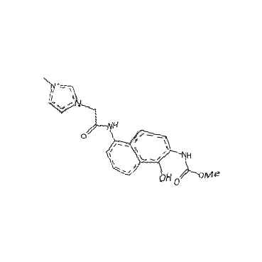 COC(=O)Nc1ccc2c(NC(=O)Cn3cc[n+](C)c3)cccc2c1O